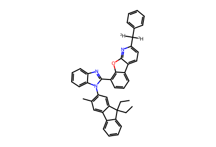 [2H]C([2H])(c1ccccc1)c1ccc2c(n1)oc1c(-c3nc4ccccc4n3-c3cc4c(cc3C)-c3ccccc3C4(CC)CC)cccc12